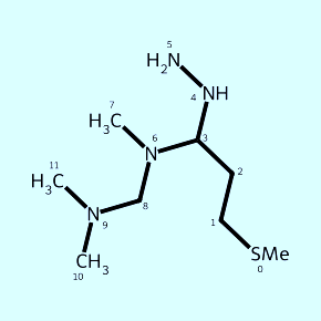 CSCCC(NN)N(C)CN(C)C